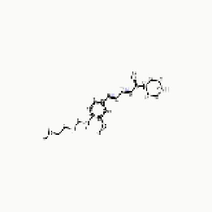 COCCOCOc1ccc(/C=C/C=C/C(=O)N2CCNCC2)cc1OC